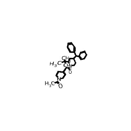 CC(=O)N1CCC(CC(=O)N2CCC(C(c3ccccc3)c3ccccc3)CC2C(C)(C)C)CC1